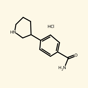 Cl.NC(=O)c1ccc(C2CCCNC2)cc1